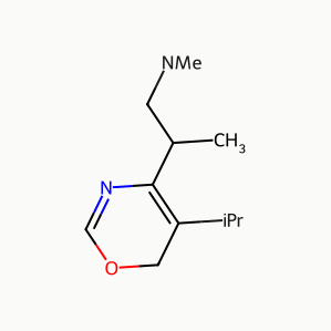 CNCC(C)C1=C(C(C)C)COC=N1